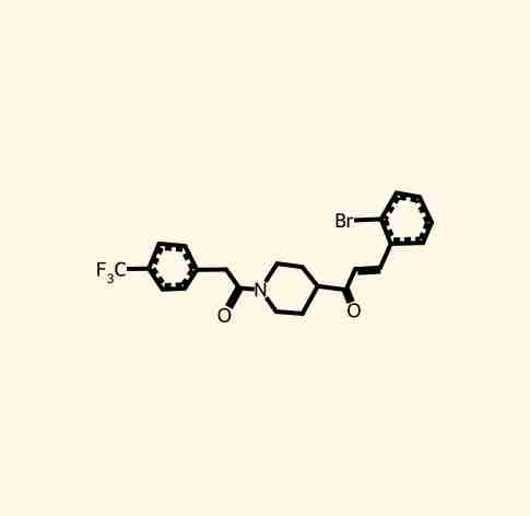 O=C(/C=C/c1ccccc1Br)C1CCN(C(=O)Cc2ccc(C(F)(F)F)cc2)CC1